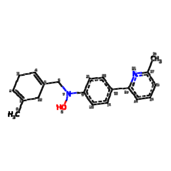 CC1=CCC=C(CN(O)c2ccc(-c3cccc(C)n3)cc2)C1